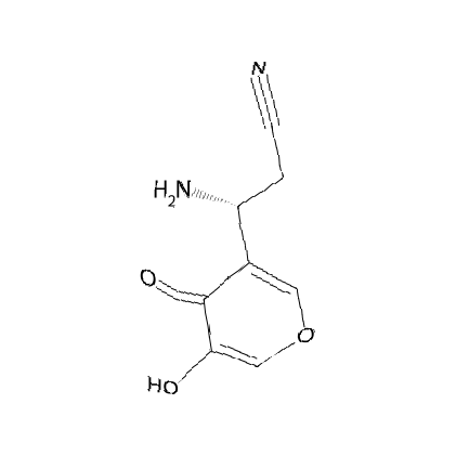 N#CC[C@@H](N)c1cocc(O)c1=O